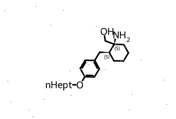 CCCCCCCOc1ccc(C[C@@H]2CCCC[C@@]2(N)CO)cc1